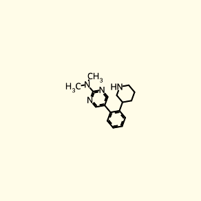 CN(C)c1ncc(-c2ccccc2C2CCCNC2)cn1